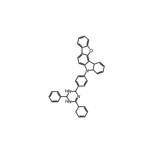 C1=CCC(C2=NC(c3ccc(N4c5ccc6c(oc7ccccc76)c5C5C=CC=CC54)cc3)NC(c3ccccc3)N2)C=C1